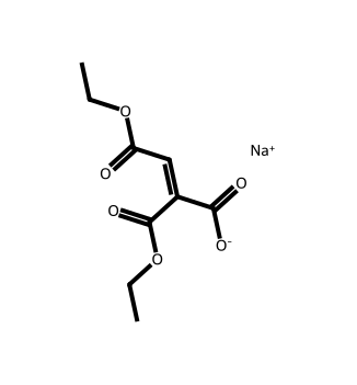 CCOC(=O)/C=C(/C(=O)[O-])C(=O)OCC.[Na+]